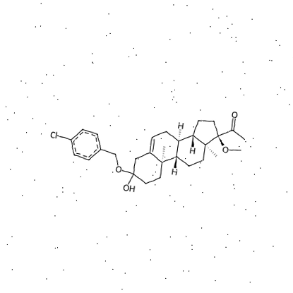 CO[C@]1(C(C)=O)CC[C@H]2[C@@H]3CC=C4CC(O)(OCc5ccc(Cl)cc5)CC[C@]4(C)[C@H]3CC[C@@]21C